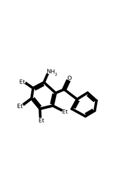 CCc1c(N)c(C(=O)c2ccccc2)c(CC)c(CC)c1CC